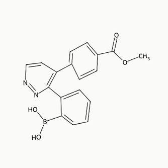 COC(=O)c1ccc(-c2ccnnc2-c2ccccc2B(O)O)cc1